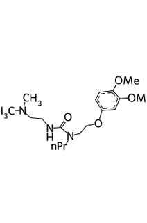 CCCN(CCOc1ccc(OC)c(OC)c1)C(=O)NCCN(C)C